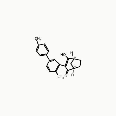 Cc1ccc(-c2ccc(C)c(C3=C(O)[C@H]4CC[C@H](C4)C3=O)c2)cc1